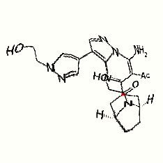 CC(=O)c1c(C2C[C@H]3CC[C@@H](C2)N3C(=O)CO)nc2c(-c3cnn(CCO)c3)cnn2c1N